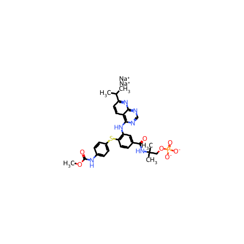 COC(=O)Nc1ccc(Sc2ccc(C(=O)NC(C)(C)COP(=O)([O-])[O-])cc2Nc2ncnc3nc(C(C)C)ccc23)cc1.[Na+].[Na+]